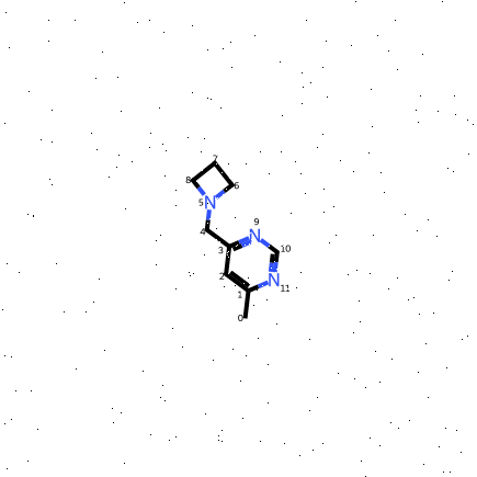 Cc1cc(CN2CCC2)ncn1